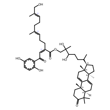 C/C(=C\CC/C(C)=C/CC/C(=C/C(=O)c1cc(O)ccc1O)C(=O)OCC(C)(O)C(O)CCC(C)[C@H]1CC[C@@]2(C)C3=CC[C@H]4C(C)(C)C(=O)CC[C@]4(C)C3=CC[C@]12C)CO